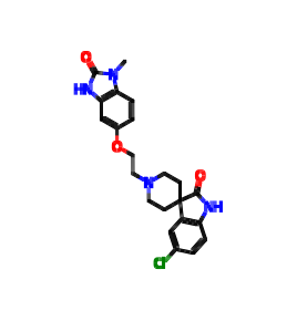 Cn1c(=O)[nH]c2cc(OCCN3CCC4(CC3)C(=O)Nc3ccc(Cl)cc34)ccc21